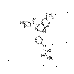 Cc1ccc2nc(-c3cccc(OCC(=O)NC(C)(C)C)c3)nc(Nc3cn[nH]c3)c2c1